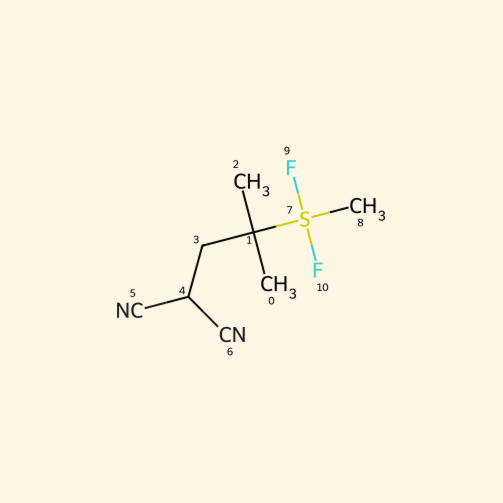 CC(C)(CC(C#N)C#N)S(C)(F)F